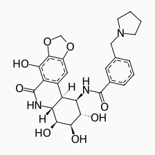 O=C(N[C@H]1[C@H](O)[C@@H](O)[C@@H](O)[C@@H]2NC(=O)c3c(cc4c(c3O)OCO4)[C@@H]12)c1cccc(CN2CCCC2)c1